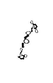 C=C1C=CC(=O)N1CCOCCOCCOCCN1C(=O)C=CC1=O